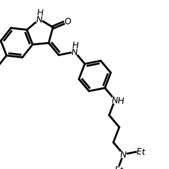 CCN(CC)CCCNc1ccc(NC=C2C(=O)Nc3ccc(F)cc32)cc1